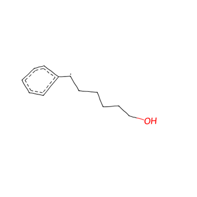 OCCCCC[CH]c1ccccc1